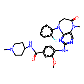 COc1cc(C(=O)NC2CCN(C)CC2)ccc1Nc1ncc2c(n1)N(c1ccccc1F)CCC(=O)N2C